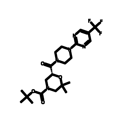 CC(C)(C)OC(=O)N1C[C@H](C(=O)N2CCN(c3ncc(C(F)(F)F)cn3)CC2)OC(C)(C)C1